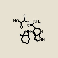 CC1(C)CCCCC1Nc1c(C(N)=O)cnc2[nH]ccc12.O=C(O)C(=O)O